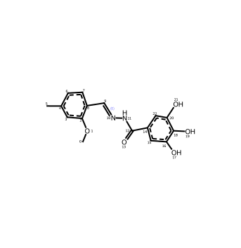 COc1cc(C)ccc1/C=N/NC(=O)c1cc(O)c(O)c(O)c1